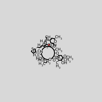 CC[C@H]1OC(=O)[C@H](C)[C@@H](O[C@H]2C[C@@](C)(OC)[C@@H](O)[C@H](C)O2)[C@H](C)[C@@H](O[C@@H]2O[C@H](C)C[C@H](N(C)C)[C@H]2OC(=O)CCCC[C@@H]2CCCS2)[C@](C)(O)C[C@@H](C)CN(C)[C@H](C)[C@@H](O)[C@]1(C)O